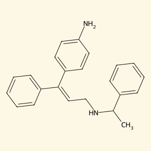 CC(NCC=C(c1ccccc1)c1ccc(N)cc1)c1ccccc1